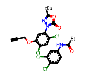 C#CCOc1cc(-n2nc(C(C)(C)C)oc2=O)c(Cl)cc1Cl.CCC(=O)Nc1ccc(Cl)c(Cl)c1